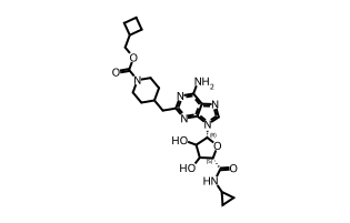 Nc1nc(CC2CCN(C(=O)OCC3CCC3)CC2)nc2c1ncn2[C@@H]1O[C@H](C(=O)NC2CC2)C(O)C1O